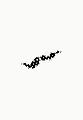 CC(C)CCC[C@@H](C)[C@H]1CC[C@H]2[C@@H]3CCC4CC(Oc5ccc(/C=C/C(=O)c6ccc(OCCBr)cc6)cc5)CC[C@]4(C)[C@H]3CC[C@]12C